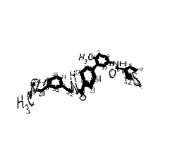 Cc1ccc(NC(=O)c2ccsc2)cc1-c1ccc(C(=O)NCc2cccc(CN(C)C)c2)cc1